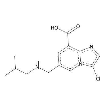 CC(C)CNCc1cc(C(=O)O)c2ncc(Cl)n2c1